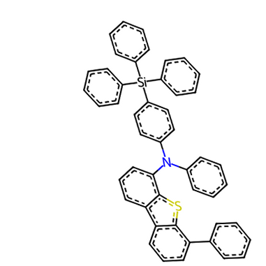 c1ccc(-c2cccc3c2sc2c(N(c4ccccc4)c4ccc([Si](c5ccccc5)(c5ccccc5)c5ccccc5)cc4)cccc23)cc1